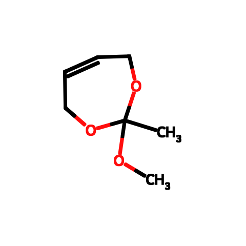 COC1(C)OCC=CCO1